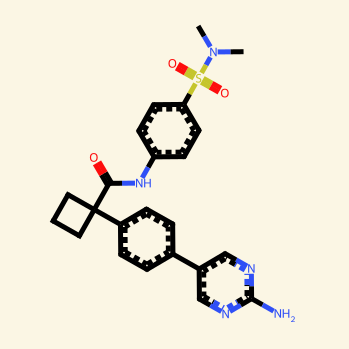 CN(C)S(=O)(=O)c1ccc(NC(=O)C2(c3ccc(-c4cnc(N)nc4)cc3)CCC2)cc1